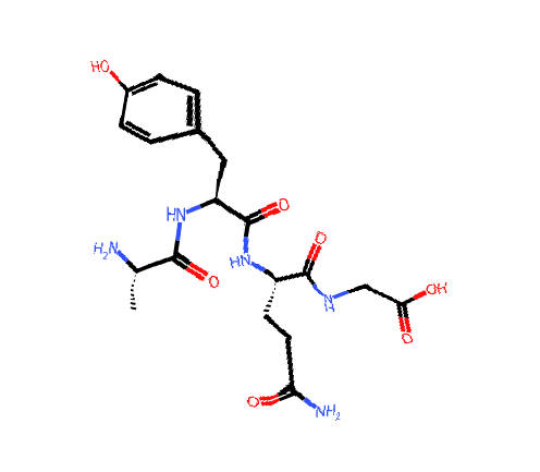 C[C@H](N)C(=O)N[C@@H](Cc1ccc(O)cc1)C(=O)N[C@@H](CCC(N)=O)C(=O)NCC(=O)O